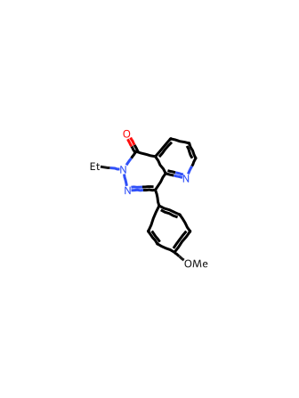 CCn1nc(-c2ccc(OC)cc2)c2ncccc2c1=O